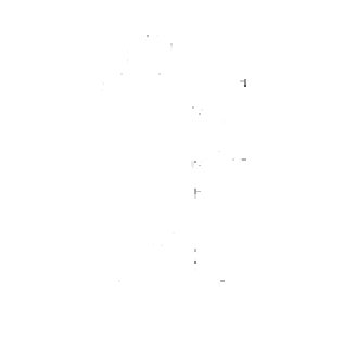 COc1cc(C=NNC(=O)c2cncc(-c3cccc(Cl)c3)n2)cc(OC)c1